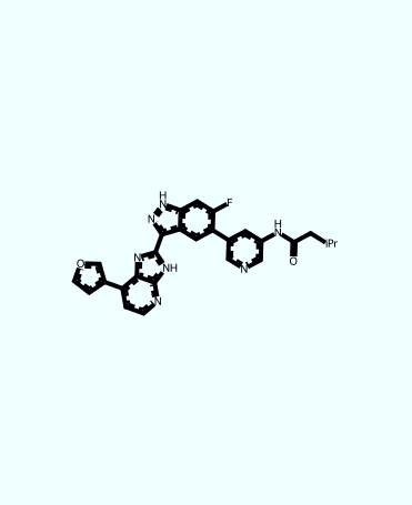 CC(C)CC(=O)Nc1cncc(-c2cc3c(-c4nc5c(-c6ccoc6)ccnc5[nH]4)n[nH]c3cc2F)c1